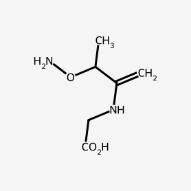 C=C(NCC(=O)O)C(C)ON